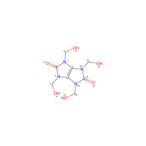 O=c1n(CO)c2c(n1CO)n(CO)c(=O)n2CO